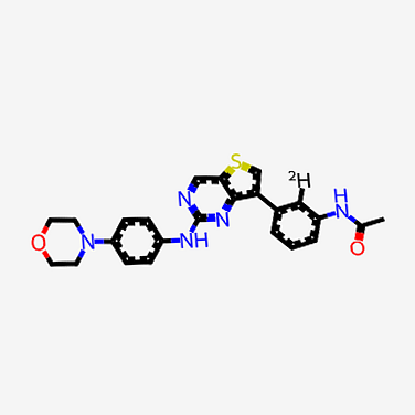 [2H]c1c(NC(C)=O)cccc1-c1csc2cnc(Nc3ccc(N4CCOCC4)cc3)nc12